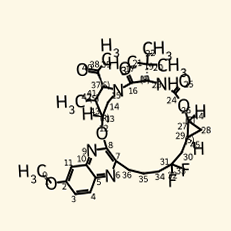 COc1ccc2nc3c(nc2c1)O[C@H]1CN(C(=O)[C@H](C(C)(C)C)NC(=O)O[C@@H]2C[C@H]2CC(F)(F)CCC3)[C@H](C(C)=O)[C@@H]1C